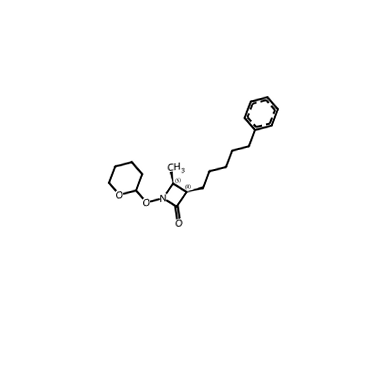 C[C@H]1[C@@H](CCCCCc2ccccc2)C(=O)N1OC1CCCCO1